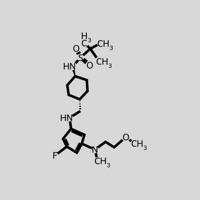 COCCN(C)c1cc(F)cc(NC[C@H]2CC[C@H](NS(=O)(=O)C(C)(C)C)CC2)c1